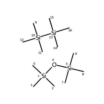 C[Si](C)(C)O[Si](C)(C)C.C[Si](C)(C)[Si](C)(C)C